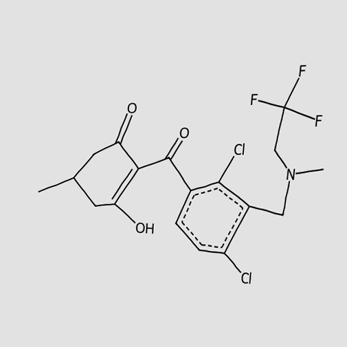 CC1CC(=O)C(C(=O)c2ccc(Cl)c(CN(C)CC(F)(F)F)c2Cl)=C(O)C1